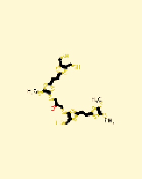 CSC1=C(SC)SC(=CC=C2SC(CS)=C(SCC(=O)CSC3=C(SC)SC(=CC=C4SC(CS)=C(CS)S4)S3)S2)S1